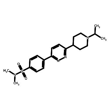 CC(C)N1CCC(c2ccc(-c3ccc(S(=O)(=O)N(C)C)cc3)nn2)CC1